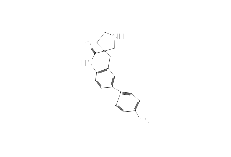 N#Cc1ccc(-c2ccc3c(c2)CC2(CCNC2)C(=O)N3)cc1